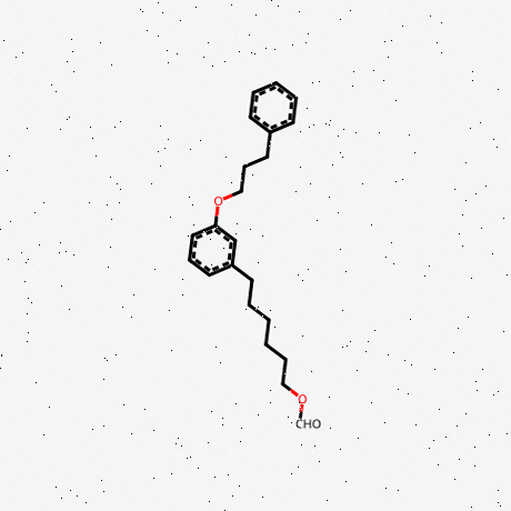 O=COCCCCCCc1cccc(OCCCc2ccccc2)c1